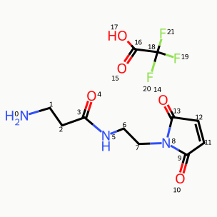 NCCC(=O)NCCN1C(=O)C=CC1=O.O=C(O)C(F)(F)F